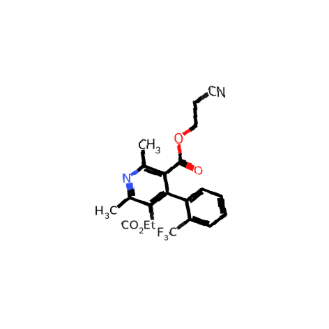 CCOC(=O)c1c(C)nc(C)c(C(=O)OCCC#N)c1-c1ccccc1C(F)(F)F